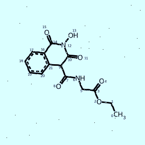 CCOC(=O)CNC(=O)C1C(=O)N(O)C(=O)c2ccccc21